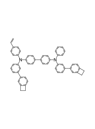 C=Cc1ccc(N(c2ccc(-c3ccc(N(c4ccccc4)c4cccc(-c5ccc6c(c5)CC6)c4)cc3)cc2)c2cccc(-c3ccc4c(c3)CC4)c2)cc1